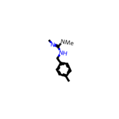 CN=C(NC)NCc1ccc(C)cc1